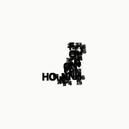 O=C(Nc1ccn(CCO)n1)C(CC1CCC1)n1ncc(Oc2c(F)cccc2F)cc1=O